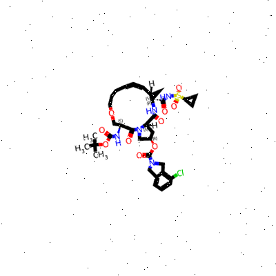 CC(C)(C)OC(=O)N[C@H]1COCCCC=C=C[C@@H]2C[C@@]2(C(=O)NS(=O)(=O)C2CC2)NC(=O)[C@@H]2C[C@@H](OC(=O)N3Cc4cccc(Cl)c4C3)CN2C1=O